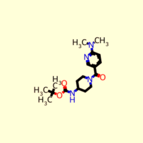 CN(C)c1ccc(C(=O)N2CCC(NC(=O)OC(C)(C)C)CC2)cn1